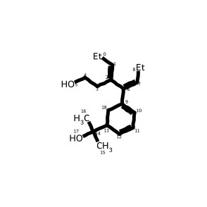 CC/C=C(CCO)/C(=C\CC)C1=CC=CC(C(C)(C)O)C1